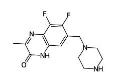 Cc1nc2c(F)c(F)c(CN3CCNCC3)cc2[nH]c1=O